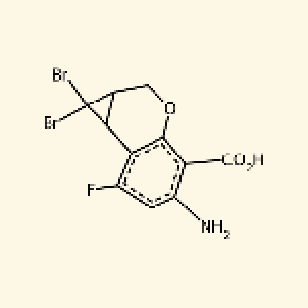 Nc1cc(F)c2c(c1C(=O)O)OCC1C2C1(Br)Br